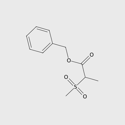 CC(C(=O)OCc1ccccc1)S(C)(=O)=O